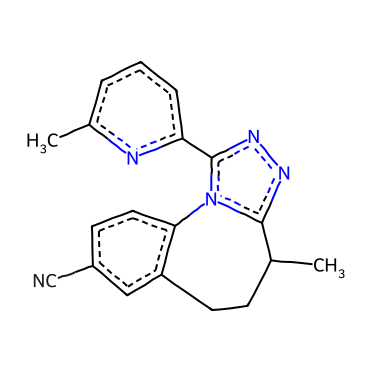 Cc1cccc(-c2nnc3n2-c2ccc(C#N)cc2CCC3C)n1